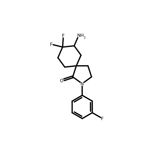 NC1CC2(CCN(c3cccc(F)c3)C2=O)CCC1(F)F